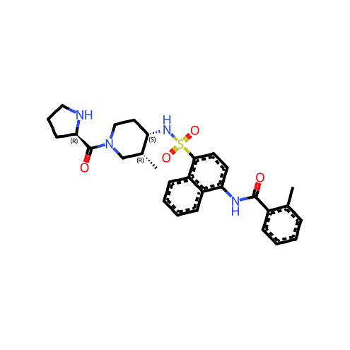 Cc1ccccc1C(=O)Nc1ccc(S(=O)(=O)N[C@H]2CCN(C(=O)[C@H]3CCCN3)C[C@H]2C)c2ccccc12